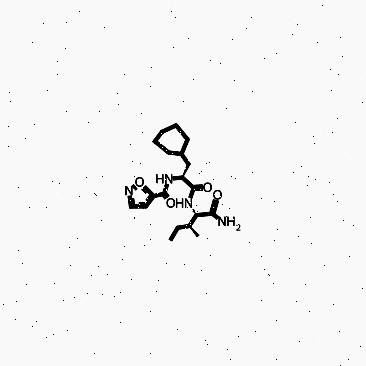 CC[C@H](C)[C@H](NC(=O)[C@H](CC1CCCCC1)NC(=O)c1ccno1)C(N)=O